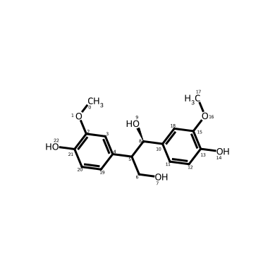 COc1cc(C(CO)[C@@H](O)c2ccc(O)c(OC)c2)ccc1O